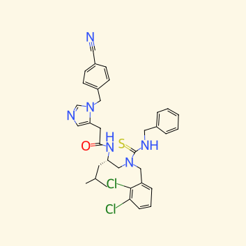 CC(C)C[C@@H](CN(Cc1cccc(Cl)c1Cl)C(=S)NCc1ccccc1)NC(=O)Cc1cncn1Cc1ccc(C#N)cc1